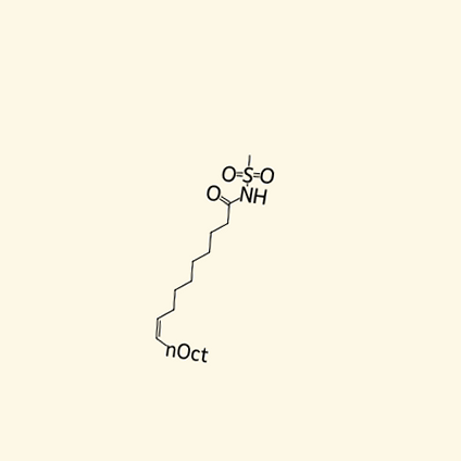 CCCCCCCC/C=C\CCCCCCCC(=O)NS(C)(=O)=O